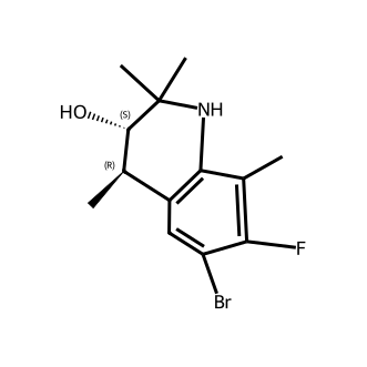 Cc1c(F)c(Br)cc2c1NC(C)(C)[C@@H](O)[C@@H]2C